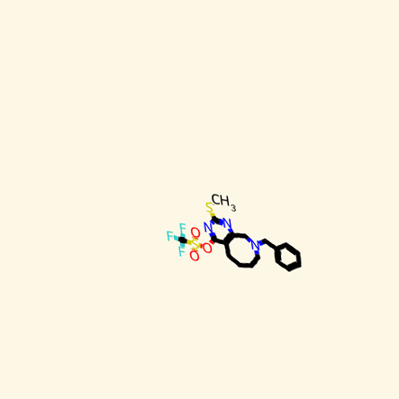 CSc1nc2c(c(OS(=O)(=O)C(F)(F)F)n1)CCCCN(Cc1ccccc1)C2